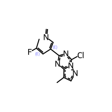 C=N/C=C(\C=C(/C)F)c1nc(Cl)n2ncc(C)c2n1